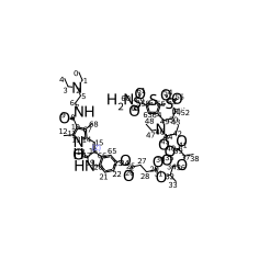 CCN(CC)CCNC(=O)c1c(C)[nH]c(/C=C2\C(=O)Nc3ccc(OC(=O)CCC(=O)OC(C)C(=O)OC(C)C(=O)OC(C)C(=O)N(CC)C4C[C@@H](C)S(=O)(=O)c5sc(S(N)(=O)=O)cc54)cc32)c1C